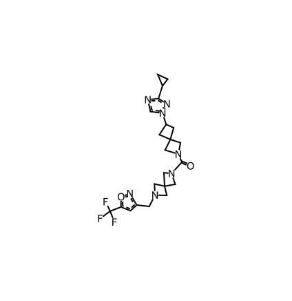 O=C(N1CC2(CC(n3cnc(C4CC4)n3)C2)C1)N1CC2(CN(Cc3cc(C(F)(F)F)on3)C2)C1